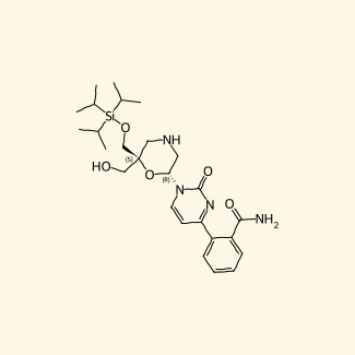 CC(C)[Si](OC[C@@]1(CO)CNC[C@H](n2ccc(-c3ccccc3C(N)=O)nc2=O)O1)(C(C)C)C(C)C